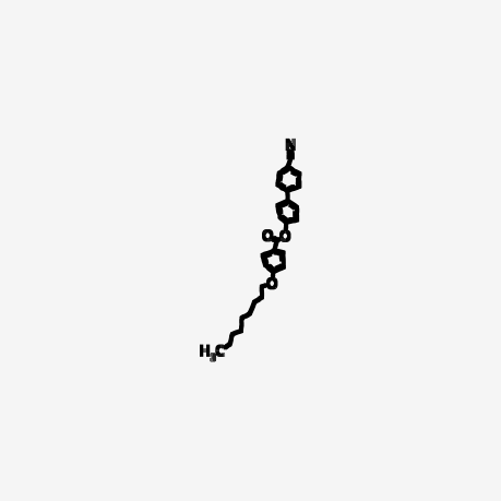 CCCCCCCCCOc1ccc(C(=O)Oc2ccc(-c3ccc(C#N)cc3)cc2)cc1